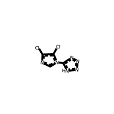 Clc1n[c]n(-c2nnn[nH]2)c1Cl